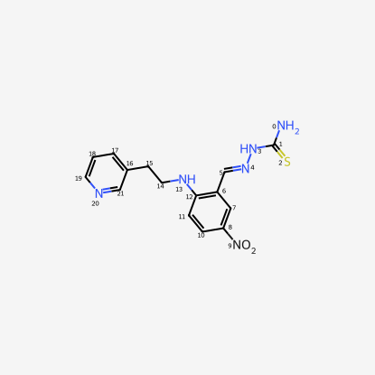 NC(=S)NN=Cc1cc([N+](=O)[O-])ccc1NCCc1cccnc1